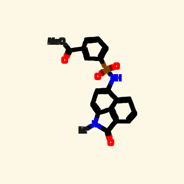 CCN1C(=O)c2cccc3c(NS(=O)(=O)c4cccc(C(=O)OC)c4)ccc1c23